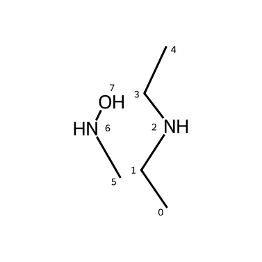 CCNCC.CNO